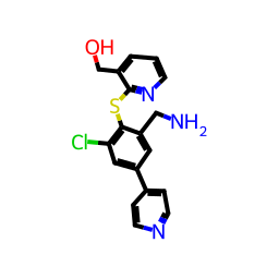 NCc1cc(-c2ccncc2)cc(Cl)c1Sc1ncccc1CO